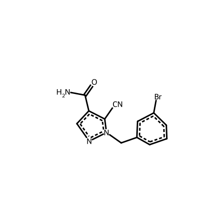 N#Cc1c(C(N)=O)cnn1Cc1cccc(Br)c1